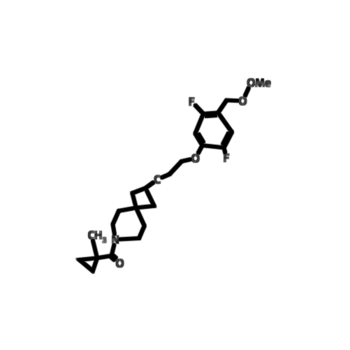 COOCc1cc(F)c(OCCCC2CC3(CCN(C(=O)C4(C)CC4)CC3)C2)cc1F